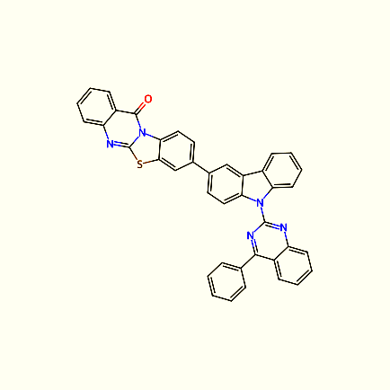 O=c1c2ccccc2nc2sc3cc(-c4ccc5c(c4)c4ccccc4n5-c4nc(-c5ccccc5)c5ccccc5n4)ccc3n12